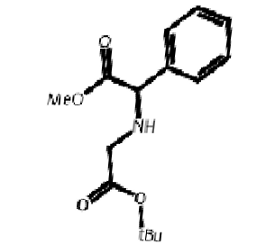 COC(=O)C(NCC(=O)OC(C)(C)C)c1ccccc1